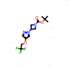 CC(C)(C)OC(=O)N1CC(n2cc(OCC(F)(F)F)cn2)C1